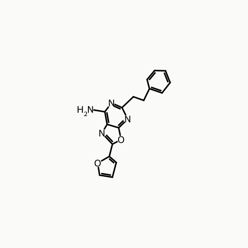 Nc1nc(CCc2ccccc2)nc2oc(-c3ccco3)nc12